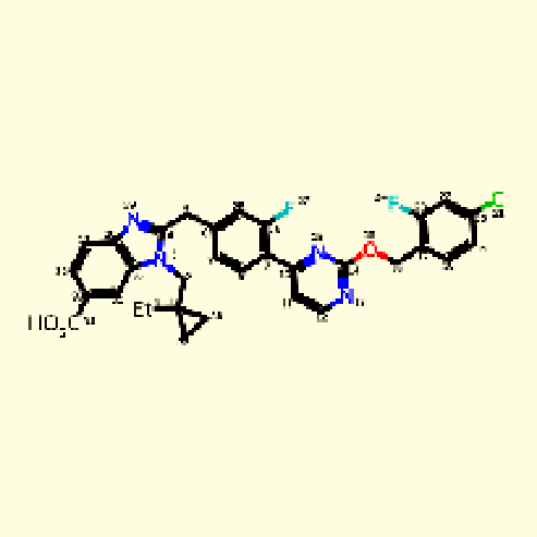 CCC1(Cn2c(Cc3ccc(-c4ccnc(OCc5ccc(Cl)cc5F)n4)c(F)c3)nc3ccc(C(=O)O)cc32)CC1